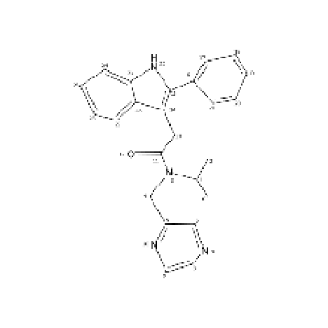 CC(C)N(Cc1cnccn1)C(=O)Cc1c(-c2ccccc2)[nH]c2ccccc12